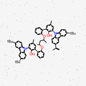 C=C(C)c1ccc2c(c1)c1cc(C(C)(C)C)ccc1n2-c1cc(C)cc(-c2ccccc2OC(C)C[C@H](C)Oc2ccccc2-c2cc(C)cc(-n3c4ccc(C(C)(C)C)cc4c4cc(C(C)(C)C)ccc43)c2O)c1O